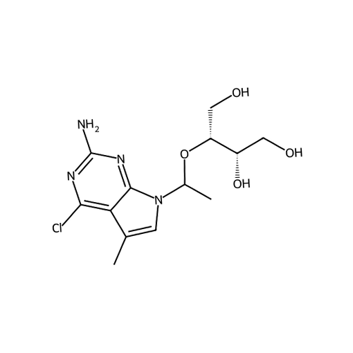 Cc1cn(C(C)O[C@H](CO)[C@@H](O)CO)c2nc(N)nc(Cl)c12